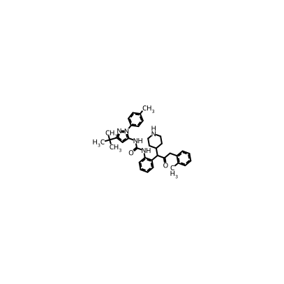 Cc1ccc(-n2nc(C(C)(C)C)cc2NC(=O)Nc2ccccc2C(C(=O)Cc2ccccc2C)C2CCNCC2)cc1